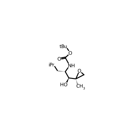 CC(C)C[C@H](NC(=O)OC(C)(C)C)[C@H](O)[C@]1(C)CO1